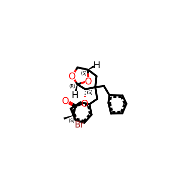 C[C@H](Br)C(=O)O[C@@H]1[C@@H]2OC[C@H](CC1(Cc1ccccc1)Cc1ccccc1)O2